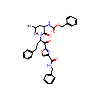 CC(C)CC(NC(=O)OCc1ccccc1)C(=O)NC(CCc1ccccc1)C(=O)c1nc(C(=O)NCc2ccccc2)co1